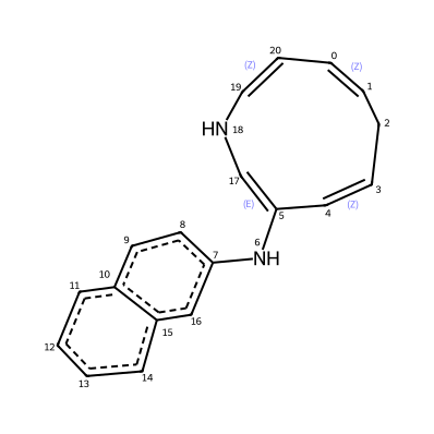 C1=C\C/C=C\C(Nc2ccc3ccccc3c2)=C/N\C=C/1